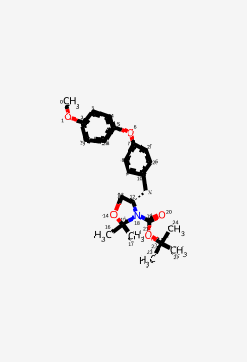 COc1ccc(Oc2ccc(C[C@H]3COC(C)(C)N3C(=O)OC(C)(C)C)cc2)cc1